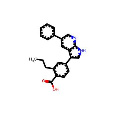 CCCc1cc(-c2c[nH]c3ncc(-c4ccccc4)cc23)ccc1C(=O)O